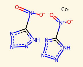 O=[N+]([O-])c1nnn[nH]1.O=[N+]([O-])c1nnn[nH]1.[Co]